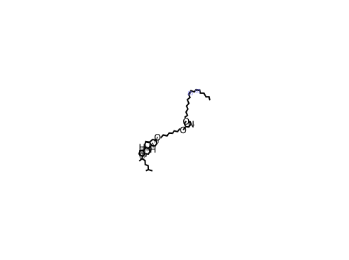 CCCCC/C=C\C/C=C\CCCCCCCCOCC(CN(C)C)OCCCCCCCCO[C@H]1CC[C@@]2(C)C(=CC[C@H]3[C@@H]4CC[C@H](C(C)CCCC(C)C)[C@@]4(C)CC[C@@H]32)C1